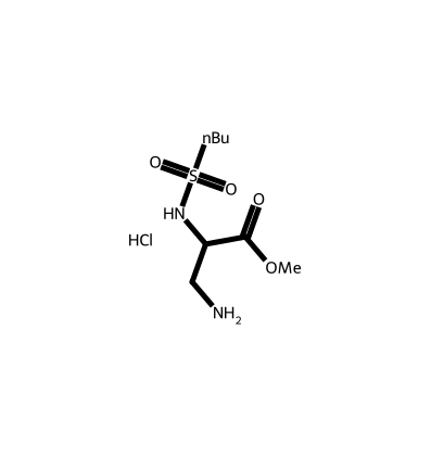 CCCCS(=O)(=O)NC(CN)C(=O)OC.Cl